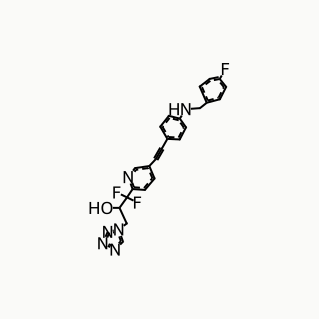 OC(Cn1cnnn1)C(F)(F)c1ccc(C#Cc2ccc(NCc3ccc(F)cc3)cc2)cn1